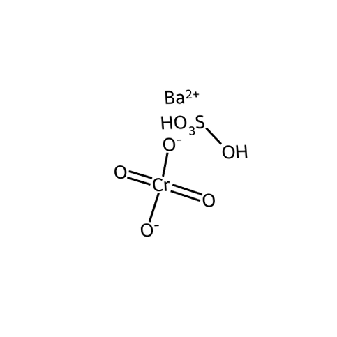 O=S(=O)(O)O.[Ba+2].[O]=[Cr](=[O])([O-])[O-]